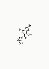 O=C(O)CNC(=O)c1nc(Br)c2cc(Br)sc2c1O